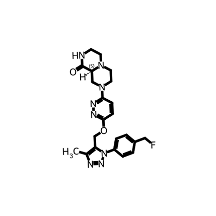 Cc1nnn(-c2ccc(CF)cc2)c1COc1ccc(N2CCN3CCNC(=O)[C@@H]3C2)nn1